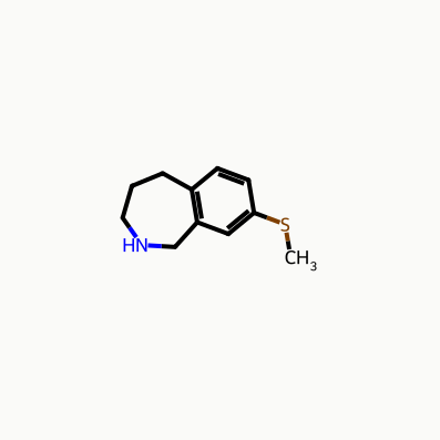 CSc1ccc2c(c1)CNCCC2